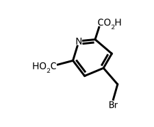 O=C(O)c1cc(CBr)cc(C(=O)O)n1